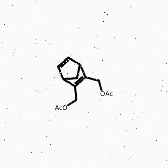 CC(=O)OCC1=C(COC(C)=O)C2C=CC1C2